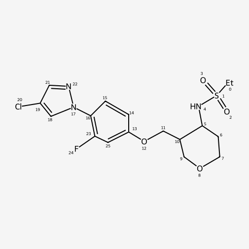 CCS(=O)(=O)NC1CCOCC1COc1ccc(-n2cc(Cl)cn2)c(F)c1